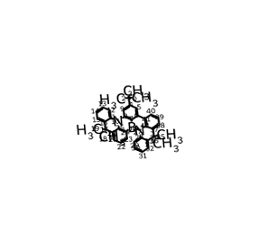 CC(C)(C)c1cc2c3c(c1)N1c4ccccc4C(C)(C)c4cccc(c41)B3N1c3ccccc3C(C)(C)c3cccc-2c31